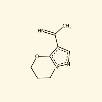 CC(=N)c1cnn2c1OCCC2